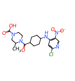 CC1CN(C(=O)O)CCN1C(=O)C1CCC(Nc2cc(Cl)ncc2[N+](=O)[O-])CC1